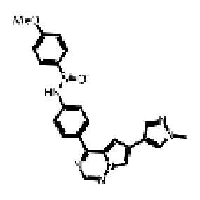 COc1ccc([S+]([O-])Nc2ccc(-c3ncnn4cc(-c5cnn(C)c5)cc34)cc2)cc1